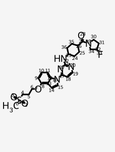 CS(=O)(=O)CCCOc1cccc2c1ccn2-c1ccnc(NC2CCC(C(=O)N3CCC(F)C3)CC2)n1